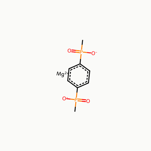 CP(=O)([O-])c1ccc(P(C)(=O)[O-])cc1.[Mg+2]